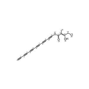 C#CC#CC#CC#CC#CC#COC(=O)/C(C)=C(\O)CCl